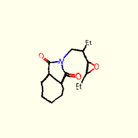 CCC(CN1C(=O)C2CCCCC2C1=O)C1OC1CC